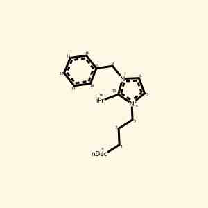 CCCCCCCCCCCCC[n+]1ccn(Cc2ccccc2)c1C(C)C